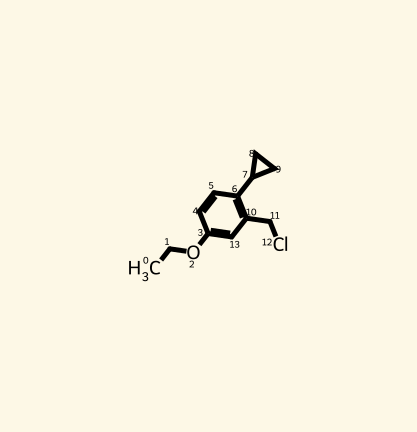 CCOc1ccc(C2CC2)c(CCl)c1